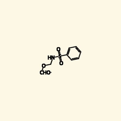 O=[C]OCNS(=O)(=O)c1ccccc1